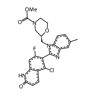 COC(=O)N1CCO[C@@H](Cn2c(-c3c(F)cc4[nH]c(=O)ccc4c3Cl)nc3cc(C)ccc32)C1